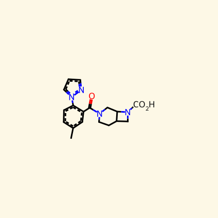 Cc1ccc(-n2cccn2)c(C(=O)N2CCC3CN(C(=O)O)C3C2)c1